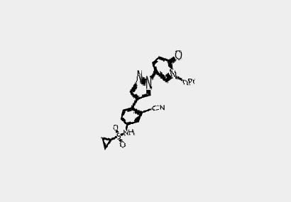 CCCn1cc(-n2cc(-c3ccc(NS(=O)(=O)C4CC4)cc3C#N)cn2)ccc1=O